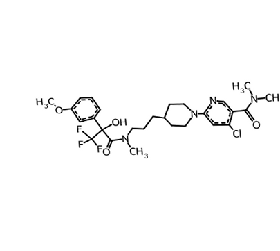 COc1cccc(C(O)(C(=O)N(C)CCCC2CCN(c3cc(Cl)c(C(=O)N(C)C)cn3)CC2)C(F)(F)F)c1